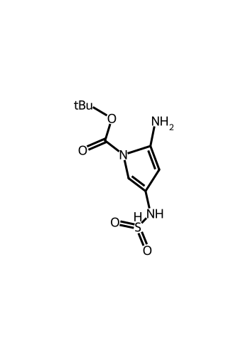 CC(C)(C)OC(=O)n1cc(N[SH](=O)=O)cc1N